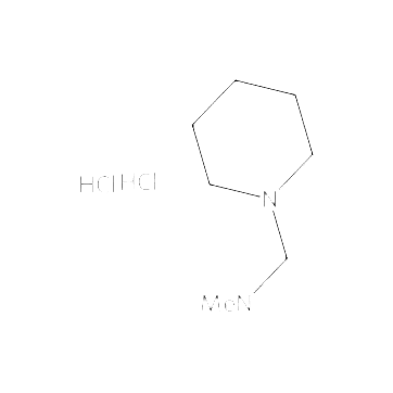 CNCN1CCCCC1.Cl.Cl